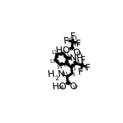 N[C@@H](Cc1c(C(F)(F)F)[nH]c2ccccc12)C(=O)O.O=C(O)C(F)(F)F